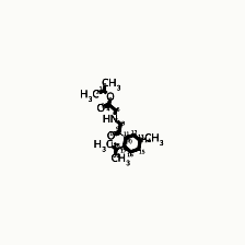 CC(C)OC(=O)CNCC(=O)[C@@H]1C[C@H](C)CC[C@H]1C(C)C